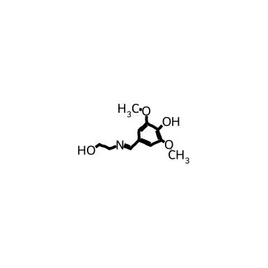 COc1cc(C=NCCO)cc(OC)c1O